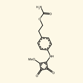 COc1c(Nc2ccc(CCOC(N)=O)cc2)c(=O)c1=O